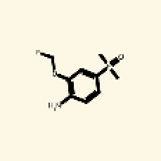 CP(C)(=O)c1ccc(N)c(OCF)c1